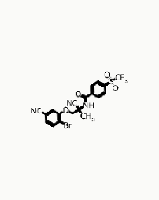 CC(C#N)(COc1cc(C#N)ccc1Br)NC(=O)c1ccc(S(=O)(=O)C(F)(F)F)cc1